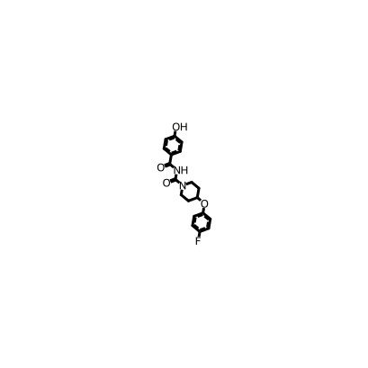 O=C(NC(=O)N1CCC(Oc2ccc(F)cc2)CC1)c1ccc(O)cc1